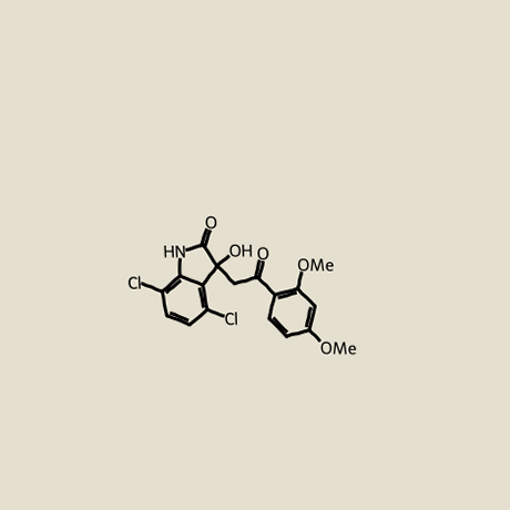 COc1ccc(C(=O)CC2(O)C(=O)Nc3c(Cl)ccc(Cl)c32)c(OC)c1